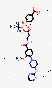 COc1cc(C(=O)NCCC(=O)ON(C(C)(C)C)S(=O)(=O)c2ccc(C(=O)O)cc2)ccc1N1CCC(Nc2ncccn2)CC1